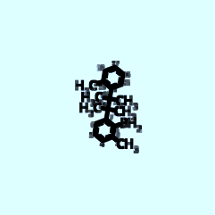 Bc1c(C)cccc1C(C)(C)C(C)(C)c1ccccc1C